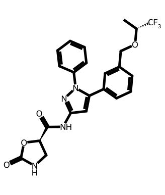 C[C@@H](OCc1cccc(-c2cc(NC(=O)[C@H]3CNC(=O)O3)nn2-c2ccccc2)c1)C(F)(F)F